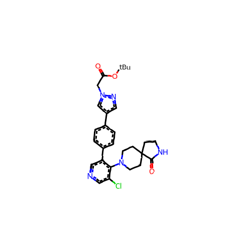 CC(C)(C)OC(=O)Cn1cc(-c2ccc(-c3cncc(Cl)c3N3CCC4(CCNC4=O)CC3)cc2)cn1